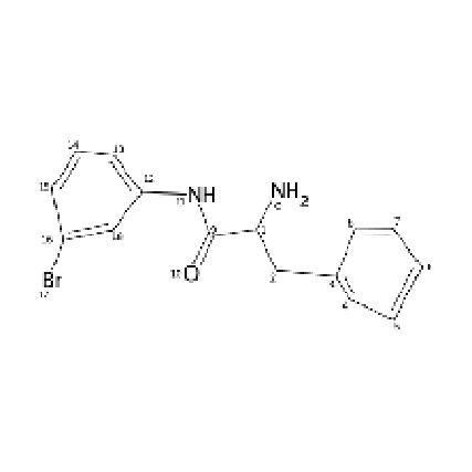 NC(Cc1ccccc1)C(=O)Nc1cccc(Br)c1